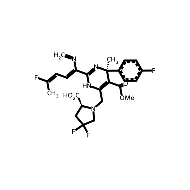 C=N/C(=C\C=C(/C)F)C1=N[C@@](C)(c2ccc(F)cc2)C(C(=O)OC)=C(CN2CC(F)(F)C[C@H]2C(=O)O)N1